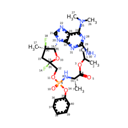 CC(C)OC(=O)[C@H](C)NP(=O)(OC[C@]1(F)C[C@@](C)(F)[C@H](n2cnc3c(N(C)C)nc(N)nc32)O1)Oc1ccccc1